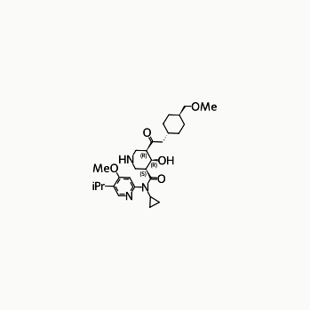 COC[C@H]1CC[C@H](CC(=O)[C@@H]2CNC[C@H](C(=O)N(c3cc(OC)c(C(C)C)cn3)C3CC3)[C@@H]2O)CC1